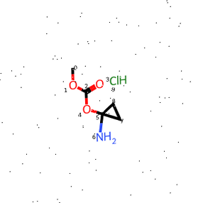 COC(=O)OC1(N)CC1.Cl